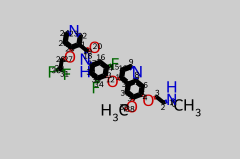 CNCCOc1cc2nccc(Oc3c(F)cc(NC(=O)c4cnccc4OCC(F)F)cc3F)c2cc1OC